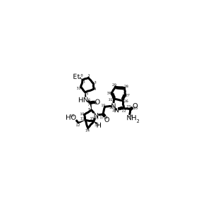 CC[C@@H]1CCC[C@@H](NC(=O)[C@@H]2C[C@@]3(CO)C[C@H]3N2C(=O)Cn2nc(C(N)=O)c3ccccc32)C1